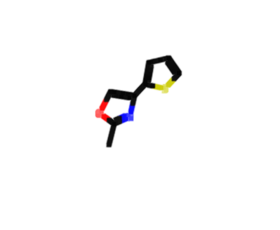 Cc1nc(-c2cccs2)co1